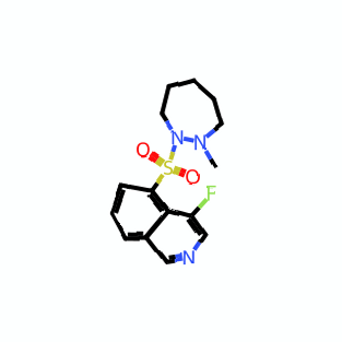 CN1CCCCCN1S(=O)(=O)c1cccc2cncc(F)c12